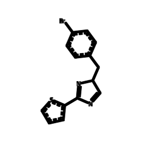 Brc1ccc(CC2C=NC(c3cccs3)=N2)cc1